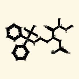 CON(C)C(=O)[C@H](CCO[Si](c1ccccc1)(c1ccccc1)C(C)(C)C)CC(=O)O